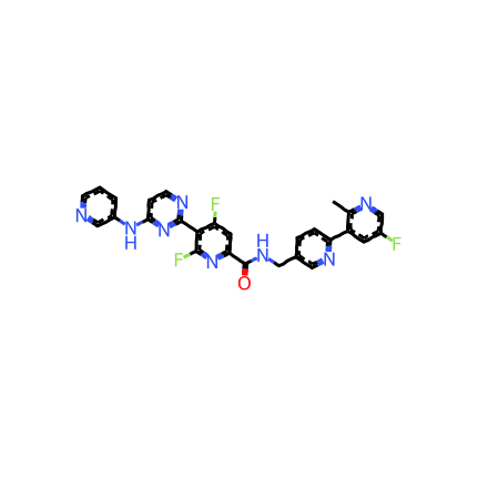 Cc1ncc(F)cc1-c1ccc(CNC(=O)c2cc(F)c(-c3nccc(Nc4cccnc4)n3)c(F)n2)cn1